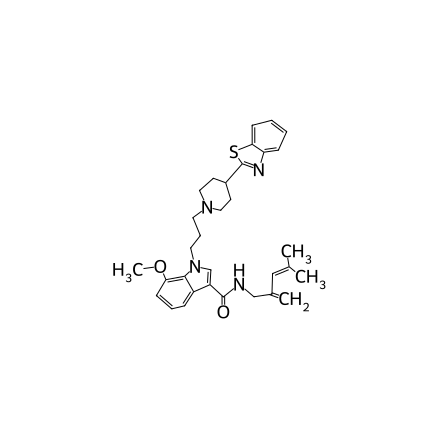 C=C(C=C(C)C)CNC(=O)c1cn(CCCN2CCC(c3nc4ccccc4s3)CC2)c2c(OC)cccc12